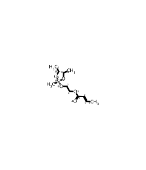 CC=CC(=O)OCCO[Si](C)(OCC)OCC